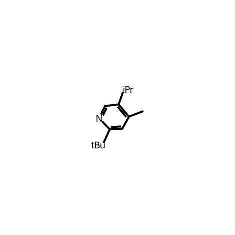 Cc1cc(C(C)(C)C)ncc1C(C)C